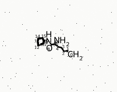 C=CCCC[C@H](N)C(=O)Nc1ccccc1